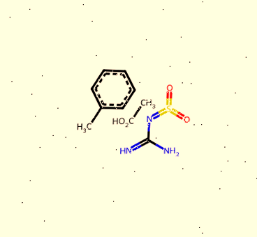 CC(=O)O.Cc1ccccc1.N=C(N)N=S(=O)=O